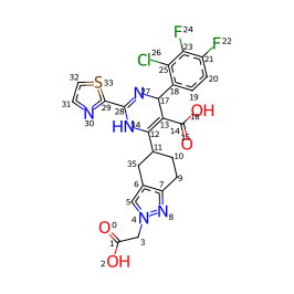 O=C(O)Cn1cc2c(n1)CCC(C1=C(C(=O)O)C(c3ccc(F)c(F)c3Cl)N=C(c3nccs3)N1)C2